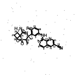 C[C@]1(c2cc(Nc3nccc4cc(C#N)cnc34)ccc2F)N=C(N)C2(CCC2)S(=O)(=O)C1F